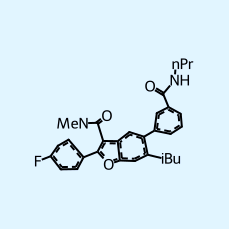 CCCNC(=O)c1cccc(-c2cc3c(C(=O)NC)c(-c4ccc(F)cc4)oc3cc2C(C)CC)c1